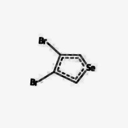 Brc1c[se]cc1Br